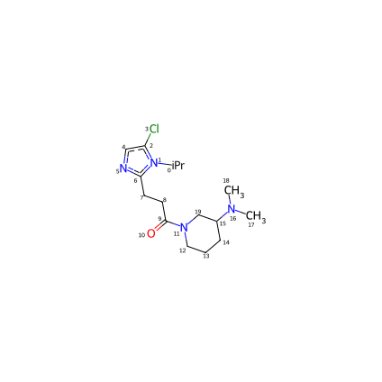 CC(C)n1c(Cl)cnc1CCC(=O)N1CCCC(N(C)C)C1